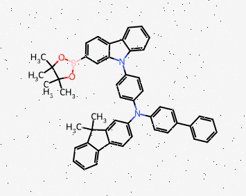 CC1(C)c2ccccc2-c2ccc(N(c3ccc(-c4ccccc4)cc3)c3ccc(-n4c5ccccc5c5ccc(B6OC(C)(C)C(C)(C)O6)cc54)cc3)cc21